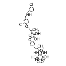 CC(=Cc1ccc(O[C@@H]2O[C@H](C(C)=CCOc3ccc(CNCc4cccc(Cl)c4)cc3Cl)[C@@H](O)[C@@H]2O)cc1)C(=O)N[C@@H]1[C@H](O)[C@@H](O)[C@H]2OCO[C@H]2[C@@H]1O